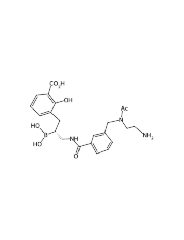 CC(=O)N(CCN)Cc1cccc(C(=O)NC[C@@H](Cc2cccc(C(=O)O)c2O)B(O)O)c1